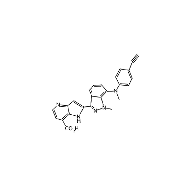 C#Cc1ccc(N(C)c2cccc3c(-c4cc5nccc(C(=O)O)c5[nH]4)nn(C)c23)cc1